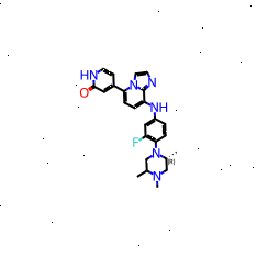 CC1CN(c2ccc(Nc3ccc(-c4cc[nH]c(=O)c4)n4ccnc34)cc2F)[C@H](C)CN1C